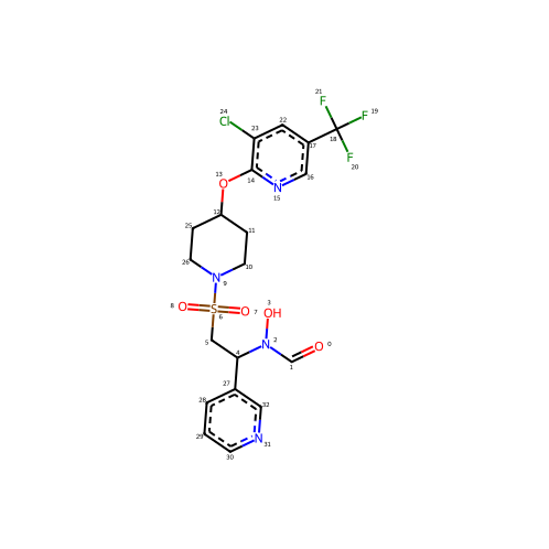 O=CN(O)C(CS(=O)(=O)N1CCC(Oc2ncc(C(F)(F)F)cc2Cl)CC1)c1cccnc1